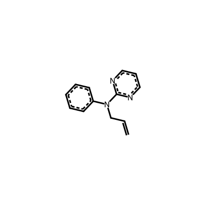 C=CCN(c1ccccc1)c1ncccn1